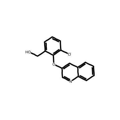 OCc1cccc(Cl)c1Oc1cnc2ccccc2c1